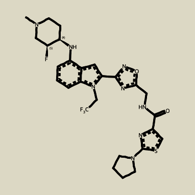 CN1CC[C@@H](Nc2cccc3c2cc(-c2noc(CNC(=O)c4csc(N5CCCC5)n4)n2)n3CC(F)(F)F)[C@@H](F)C1